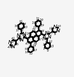 c1ccc(-c2nc(-c3cncnc3)nc(-c3cc(-c4ccccc4)c4ccc5c(-c6nc(-c7ccccc7)nc(-c7cncnc7)n6)cc(-c6ccccc6)c6ccc3c4c65)n2)cc1